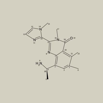 Cc1cc([C@@H](C)N)c2nc(-c3nccn3C)n(C)c(=O)c2c1C